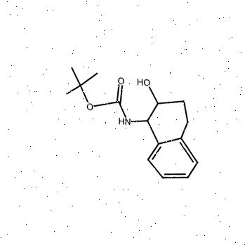 CC(C)(C)OC(=O)NC1c2ccccc2CCC1O